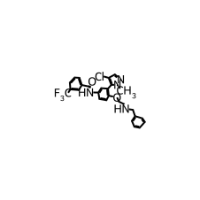 Cn1ncc(Cl)c1-c1cc(NC(=O)c2cccc(C(F)(F)F)c2)ccc1OCCNCc1ccccc1